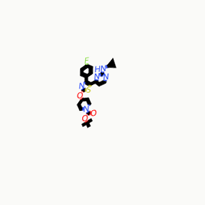 CC(C)(C)OC(=O)N1CCC(Oc2nc(-c3ccc(F)cc3)c(-c3ccnc(NC4CC4)n3)s2)CC1